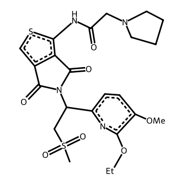 CCOc1nc(C(CS(C)(=O)=O)N2C(=O)c3csc(NC(=O)CN4CCCC4)c3C2=O)ccc1OC